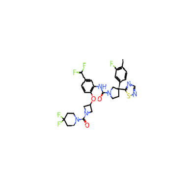 Cc1ccc([C@@]2(c3ncns3)CCN(C(=O)Nc3cc(C(F)F)ccc3OC3CN(C(=O)N4CCC(F)(F)CC4)C3)C2)cc1F